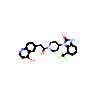 O=C(Cc1ccc2nccc(O)c2c1)N1CCC(n2c(=O)[nH]c3cccc(C(F)(F)F)c32)CC1